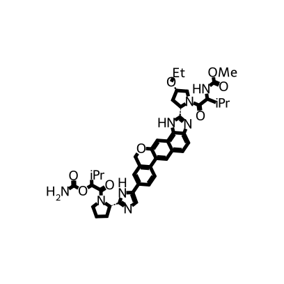 CCO[C@H]1C[C@@H](c2nc3ccc4cc5c(cc4c3[nH]2)OCc2cc(-c3cnc([C@@H]4CCCN4C(=O)C(OC(N)=O)C(C)C)[nH]3)ccc2-5)N(C(=O)C(NC(=O)OC)C(C)C)C1